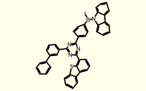 IB(c1ccc(-c2nc(-c3cccc(-c4ccccc4)c3)nc(-c3cccc4c3sc3ccccc34)n2)cc1)n1c2ccccc2c2ccccc21